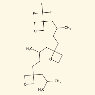 CC(C)CC1(CCC(C)CC2(CCC(C)CC3(C(F)(F)F)COC3)CCO2)COC1